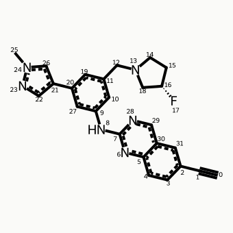 C#Cc1ccc2nc(Nc3cc(CN4CC[C@H](F)C4)cc(-c4cnn(C)c4)c3)ncc2c1